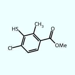 COC(=O)c1ccc(Cl)c(S)c1C